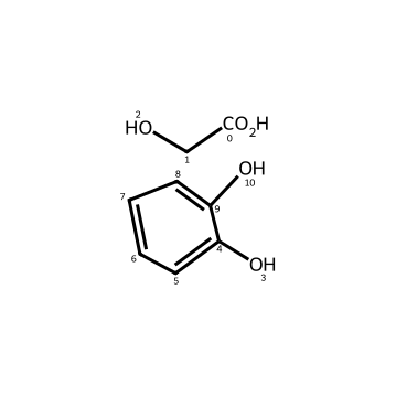 O=C(O)CO.Oc1ccccc1O